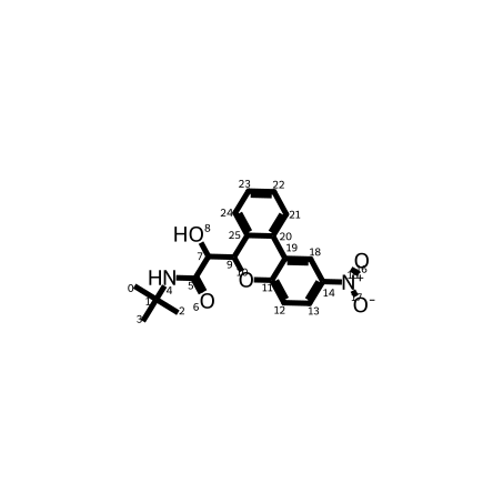 CC(C)(C)NC(=O)C(O)C1Oc2ccc([N+](=O)[O-])cc2-c2ccccc21